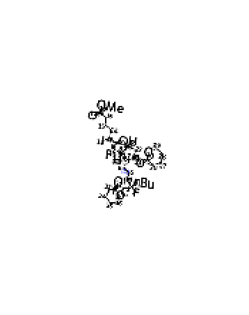 CCCCC(C)(F)[C@@H](/C=C/[C@@H]1[C@H]2C(F)C(C(I)CCCC(=O)OC)O[C@H]2C[C@H]1OC1CCCCO1)OC1CCCCO1